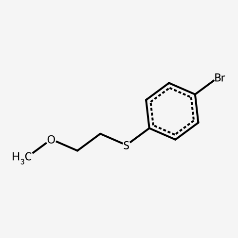 COCCSc1ccc(Br)cc1